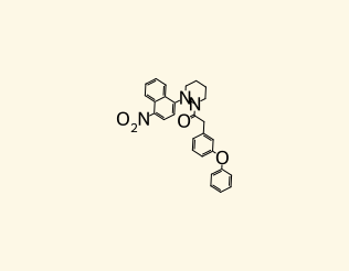 O=C(Cc1cccc(Oc2ccccc2)c1)N1CCCCN1c1ccc([N+](=O)[O-])c2ccccc12